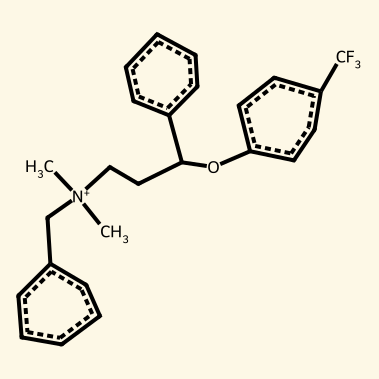 C[N+](C)(CCC(Oc1ccc(C(F)(F)F)cc1)c1ccccc1)Cc1ccccc1